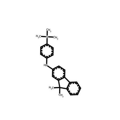 CC1(C)c2ccccc2-c2ccc(Nc3ccc([Si](C)(C)C)cc3)cc21